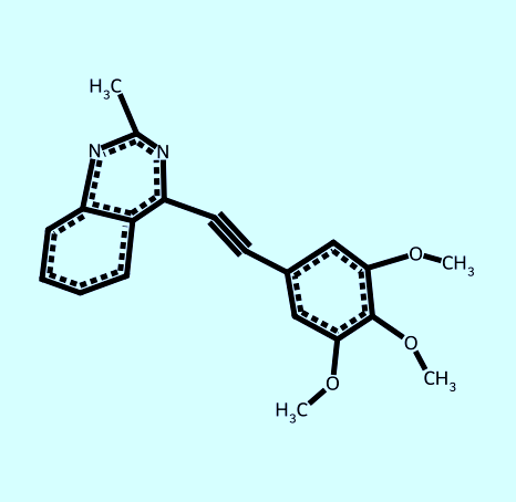 COc1cc(C#Cc2nc(C)nc3ccccc23)cc(OC)c1OC